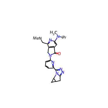 CNCc1nc(N(C)C(C)C)cc2c1CN(c1cccc(-c3nnc4n3C3CC3C4)n1)C2=O